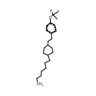 CCCCCCCC1CCC(CCc2ccc(OC(F)(F)F)cc2)CC1